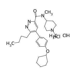 CCCCc1nnc(C(=O)N(C)C2CCN(C)CC2)cc1-c1ccc(OC2CCCCC2)cc1.Cl.Cl